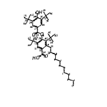 CCCCCCCCCCCCc1c(C(=O)O)cc(C(C)(C)C)c(OC(=O)c2cc(C(C)(C)C)c(O)c(C(C)(C)C)c2)c1C(C)(C)C